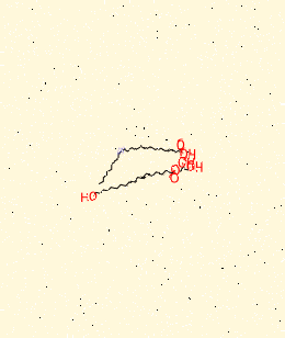 CCCCCCCC/C=C\CCCCCCCCCCCC(=O)O.O=C(CCCCCCCCCCCCCCCCCO)OCC(O)CO